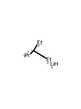 CCC(CC)[C](C)C.[LiH]